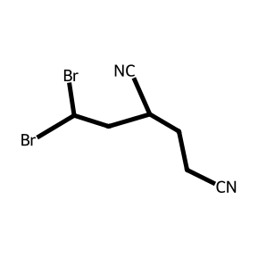 N#CCCC(C#N)CC(Br)Br